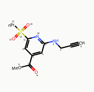 C#CCNc1cc(C(=O)OC)cc(S(=O)(=O)CCC)n1